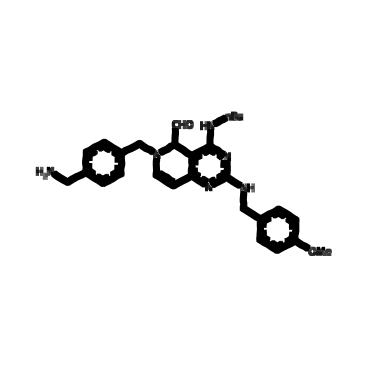 CCCCNc1nc(NCc2ccc(OC)cc2)nc2c1C(C=O)N(Cc1ccc(CN)cc1)C=C2